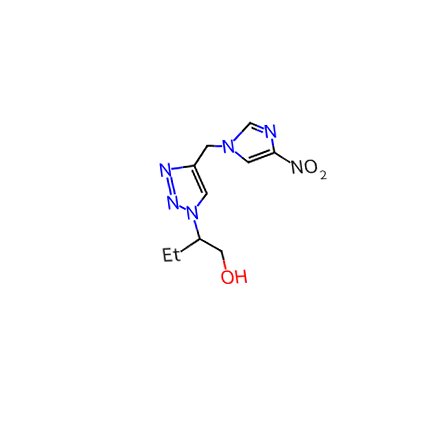 CCC(CO)n1cc(Cn2cnc([N+](=O)[O-])c2)nn1